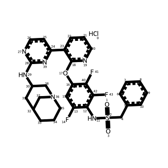 Cl.O=S(=O)(Cc1ccccc1)Nc1c(F)cc(Oc2ncccc2-c2ccnc(NC3CC4CCCN(C4)C3)n2)c(F)c1F